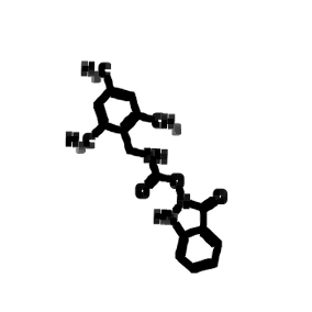 Cc1cc(C)c(CNC(=O)On2[nH]c3ccccc3c2=O)c(C)c1